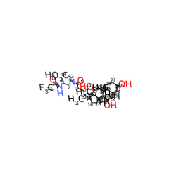 CC(CCC(=O)N(CCNC(=O)C(F)(F)F)CC(=O)O)[C@H]1CC[C@H]2[C@@H]3[C@H](O)C[C@@H]4C[C@H](O)CC[C@]4(C)[C@H]3C[C@H](O)[C@]12C